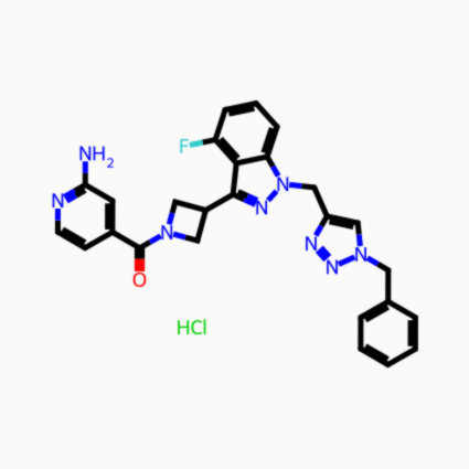 Cl.Nc1cc(C(=O)N2CC(c3nn(Cc4cn(Cc5ccccc5)nn4)c4cccc(F)c34)C2)ccn1